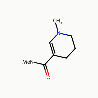 CNC(=O)C1=CN(C)CCC1